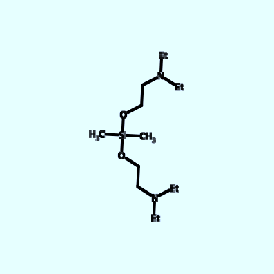 CCN(CC)CCO[Si](C)(C)OCCN(CC)CC